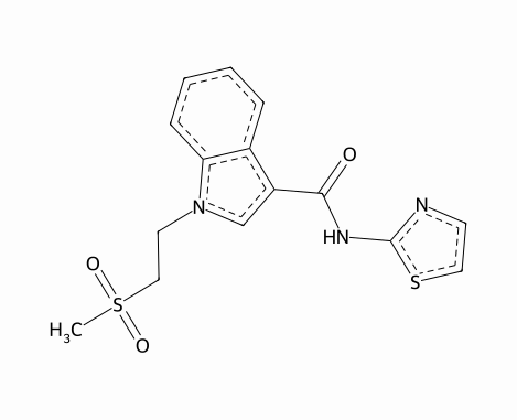 CS(=O)(=O)CCn1cc(C(=O)Nc2nccs2)c2ccccc21